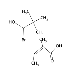 CC(C)(C)C(O)Br.CC=C(C)C(=O)O